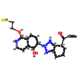 COC(=O)c1cccc2nn(-c3ccc4c(OCCS)nccc4c3O)nc12